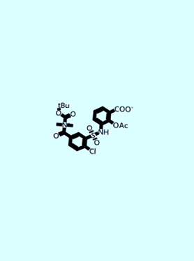 CC(=O)Oc1c(NS(=O)(=O)c2cc(C(=O)[N+](C)(C)C(=O)OC(C)(C)C)ccc2Cl)cccc1C(=O)[O-]